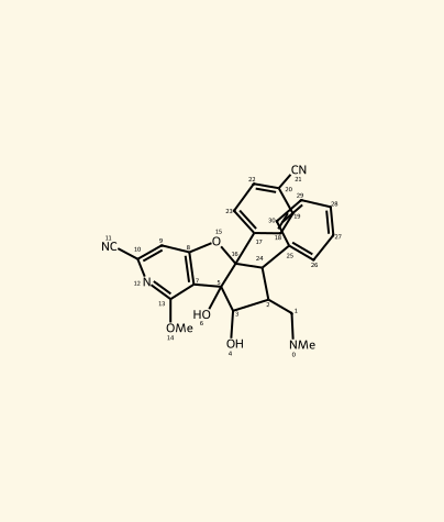 CNCC1C(O)C2(O)c3c(cc(C#N)nc3OC)OC2(c2ccc(C#N)cc2)C1c1ccccc1